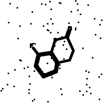 O=C1CCc2cccc(F)c2S1